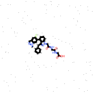 Cn1ncc2cc(F)c(-c3cccc4c3c(Cc3ccccc3)nn4CC(=O)NCC(=O)NCC(=O)O)cc21